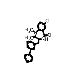 C=C1C(Cc2cccc(-c3ccccc3)c2)NC(=O)c2cc(Cl)ccc2N1C